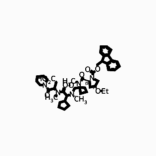 CCO[C@@H]1C[C@@H](C(=O)N(C)C2(C(=O)N(C)C(C(=O)N(C)C(CC(=O)O)C(=O)N3CCCCC3)C3CCCC3)CCC2)N(C(=O)OCC2c3ccccc3-c3ccccc32)C1